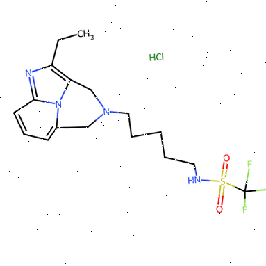 CCc1nc2cccc3n2c1CN(CCCCCNS(=O)(=O)C(F)(F)F)C3.Cl